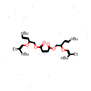 CCCCC=CC(COC(=O)/C=C\C(=O)OCC(C=CCCCC)OC=C(CC)CCCC)OC=C(CC)CCCC